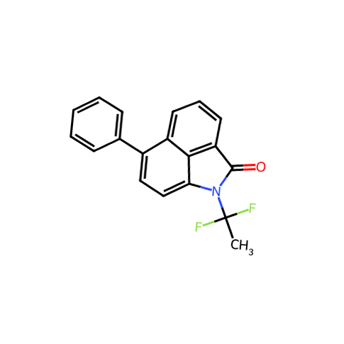 CC(F)(F)N1C(=O)c2cccc3c(-c4ccccc4)ccc1c23